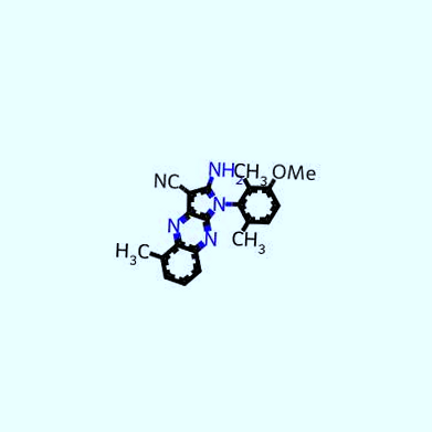 COc1ccc(C)c(-n2c(N)c(C#N)c3nc4c(C)cccc4nc32)c1C